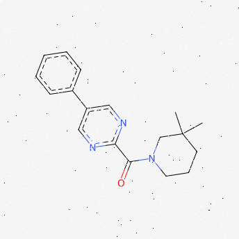 CC1(C)CCCN(C(=O)c2ncc(-c3ccccc3)cn2)C1